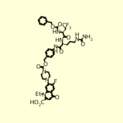 CCn1c(C(=O)O)cc(=O)c2cc(F)c(N3CCN(C(=O)OCc4ccc(NC(=O)[C@H](CCCNC(N)=O)NC(=O)[C@H](CC(F)(F)F)NC(=O)OCc5ccccc5)cc4)CC3)cc21